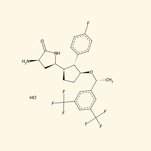 C[C@@H](O[C@H]1CC[C@@H]([C@H]2C[C@@H](N)C(=O)N2)[C@@H]1c1ccc(F)cc1)c1cc(C(F)(F)F)cc(C(F)(F)F)c1.Cl